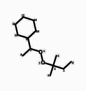 CCC(C)(C)OOC(C)C1CCCCC1